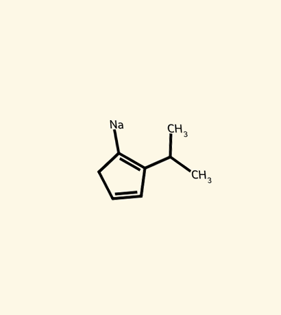 CC(C)C1=[C]([Na])CC=C1